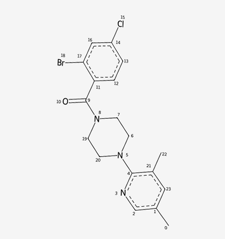 Cc1cnc(N2CCN(C(=O)c3ccc(Cl)cc3Br)CC2)c(C)c1